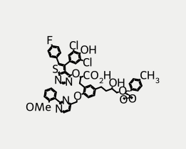 COc1ccccc1-c1nccc(COc2ccc(CCC(O)COS(=O)(=O)c3ccc(C)cc3)cc2CC(Oc2ncnc3sc(-c4ccc(F)cc4)c(-c4cc(Cl)c(O)c(Cl)c4)c23)C(=O)O)n1